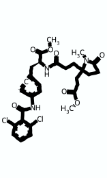 COC(=O)CCC1(CCC(=O)N[C@@H](Cc2ccc(NC(=O)c3c(Cl)cccc3Cl)cc2)C(=O)OC)CCC(=O)N1C